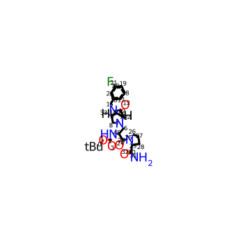 CC(C)(C)OC(=O)NC(CN1C[C@@H]2C[C@H]1C(=O)N2Cc1cccc(F)c1)C(=O)N1CCCC1C(N)=O